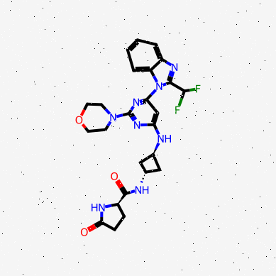 O=C1CC[C@H](C(=O)N[C@H]2C[C@H](Nc3cc(-n4c(C(F)F)nc5ccccc54)nc(N4CCOCC4)n3)C2)N1